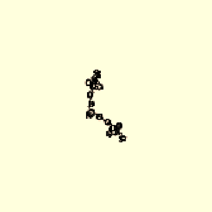 O=C(OCCOCCOCc1cncc(COCCOCCOC(=O)N(Cc2cccs2)Cc2cccs2)c1)N(Cc1cccs1)Cc1cccs1